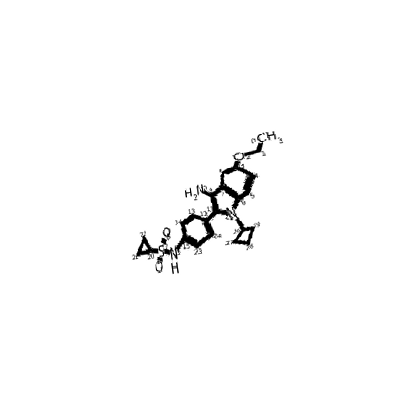 CCOc1ccc2c(c1)c(N)c(-c1ccc(NS(=O)(=O)C3CC3)cc1)n2C1CCC1